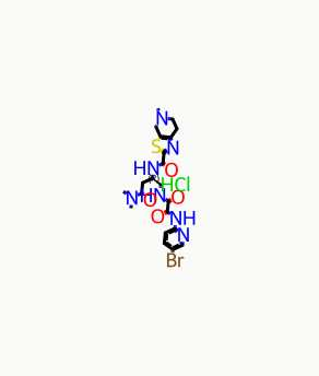 CN1CCc2nc(C(=O)N[C@@H](CNC(=O)C(=O)Nc3ccc(Br)cn3)CC(=O)N(C)C)sc2C1.Cl